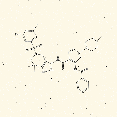 CN1CCN(c2ccc(C(=O)Nc3n[nH]c4c3CN(S(=O)(=O)c3cc(F)cc(F)c3)CC4(C)C)c(NC(=O)c3ccncc3)c2)CC1